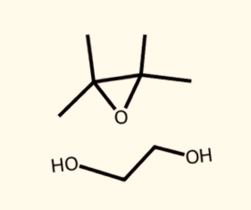 CC1(C)OC1(C)C.OCCO